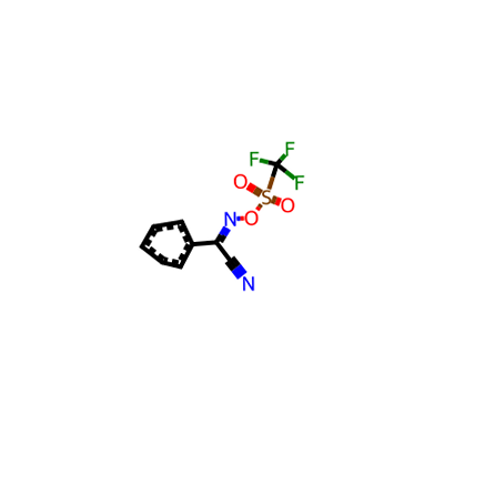 N#C/C(=N\OS(=O)(=O)C(F)(F)F)c1ccccc1